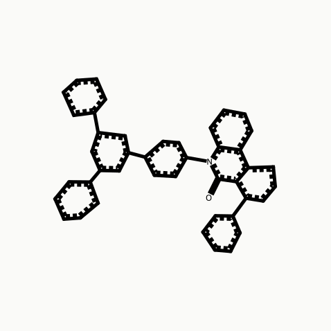 O=c1c2c(-c3ccccc3)cccc2c2ccccc2n1-c1ccc(-c2cc(-c3ccccc3)cc(-c3ccccc3)c2)cc1